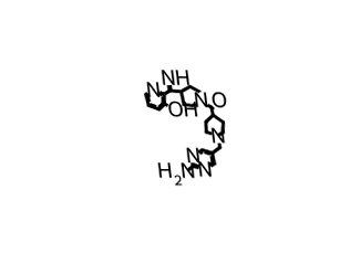 N=C(c1ncccc1O)C1CCN(C(=O)C2CCN(Cc3cnc(N)nc3)CC2)CC1